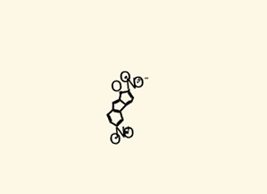 O=C1C2=Cc3ccc([N+](=O)[O-])cc3C2=CC=C1[N+](=O)[O-]